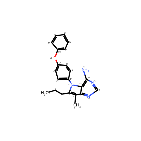 CCCc1c(C)c2ncnc(N)c2n1-c1ccc(Oc2ccccc2)cc1